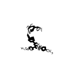 COc1ccc(-c2cn(S(=O)(=O)c3ccc(C)cc3)c3ncc(-c4ccc(CN5CC(CO)CC(F)(F)C5)cc4)cc23)cn1